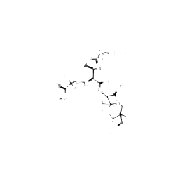 C=CC1(C(=O)O)CS[C@@H]2C(NC(=O)C(=NOC(C)(C)C(=O)OC(C)(C)C)c3csc(NC=O)n3)C(=O)N2C1